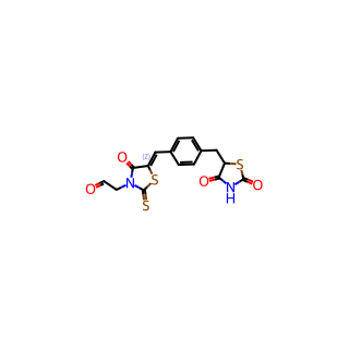 O=CCN1C(=O)/C(=C/c2ccc(CC3SC(=O)NC3=O)cc2)SC1=S